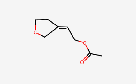 CC(=O)OC/C=C1/CCOC1